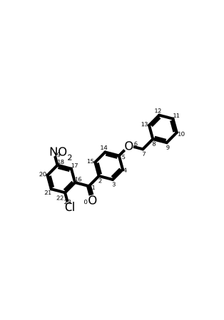 O=C(c1ccc(OCc2ccccc2)cc1)c1cc([N+](=O)[O-])ccc1Cl